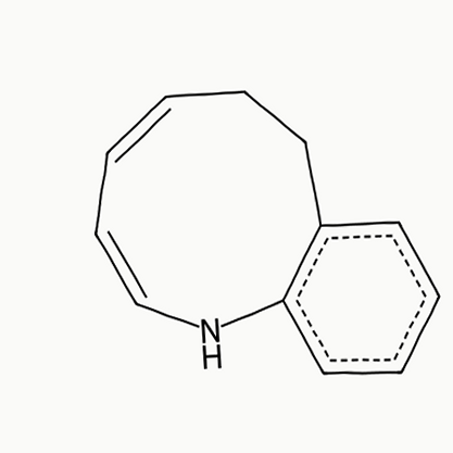 C1=CNc2ccccc2CC/C=C\1